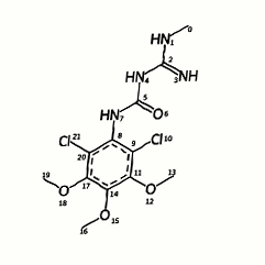 CNC(=N)NC(=O)Nc1c(Cl)c(OC)c(OC)c(OC)c1Cl